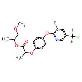 COCC(C)OC(=O)C(C)Oc1ccc(Oc2ncc(C(F)(F)F)cc2F)cc1